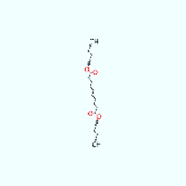 C#CCCC#COC(=O)CCCCCCCCC(=O)OC#CCCC#C